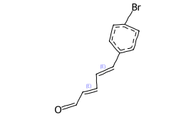 O=C/C=C/C=C/c1ccc(Br)cc1